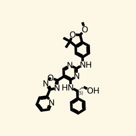 COC1OC(C)(C)c2cc(Nc3ncc(-c4nc(-c5ccccn5)no4)c(N[C@H](CO)c4ccccc4)n3)ccc21